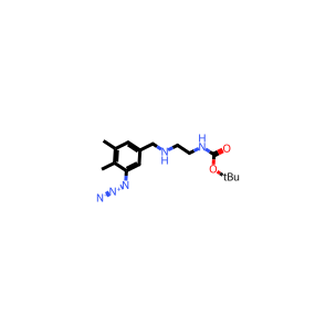 Cc1cc(CNCCNC(=O)OC(C)(C)C)cc(N=[N+]=[N-])c1C